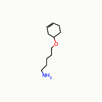 NCCCCCOC1CC=CCC1